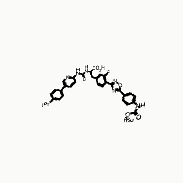 CC(C)c1ccc(-c2ccc(NC(=O)NC(Cc3ccc(-c4noc(-c5ccc(NC(=O)OC(C)(C)C)cc5)n4)c(F)c3)C(=O)O)nc2)cc1